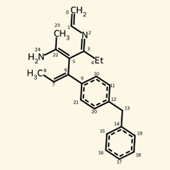 C=C\N=C(CC)/C(C(=C\C)/c1ccc(Cc2ccccc2)cc1)=C(\C)N